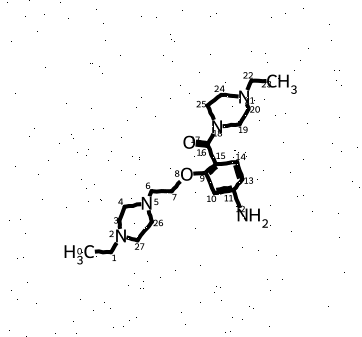 CCN1CCN(CCOc2cc(N)ccc2C(=O)N2CCN(CC)CC2)CC1